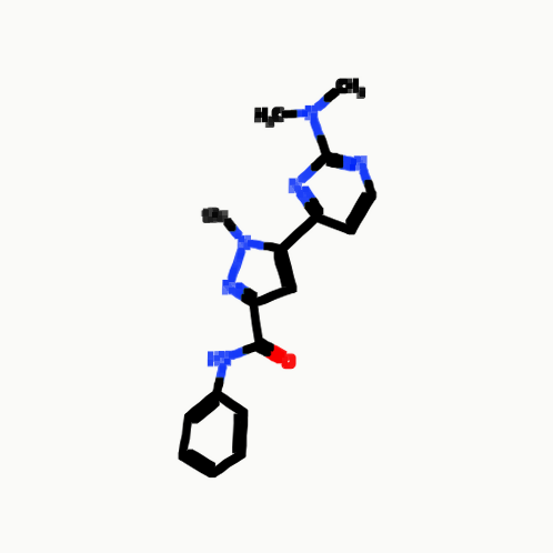 CN(C)c1nccc(-c2cc(C(=O)Nc3ccccc3)nn2C(C)(C)C)n1